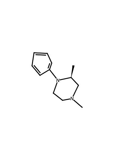 C[C@H]1CN(C)CCN1c1ccccc1